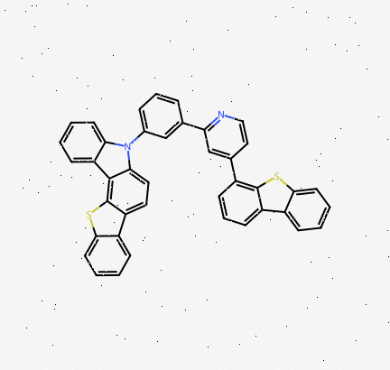 c1cc(-c2cc(-c3cccc4c3sc3ccccc34)ccn2)cc(-n2c3ccccc3c3c4sc5ccccc5c4ccc32)c1